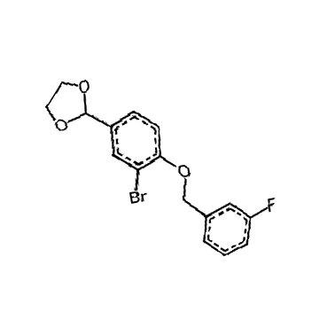 Fc1cccc(COc2ccc(C3OCCO3)cc2Br)c1